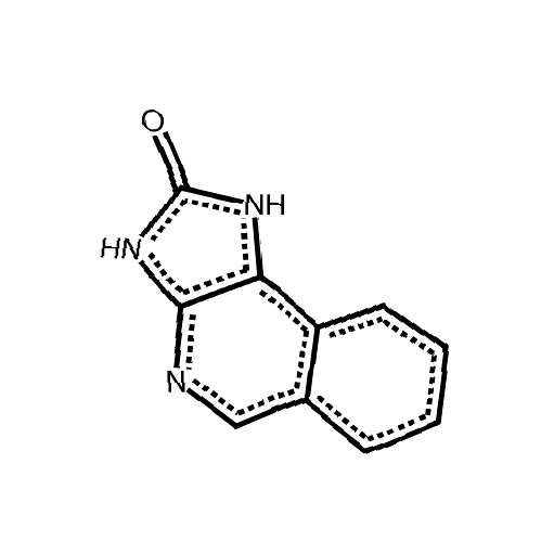 O=c1[nH]c2ncc3ccccc3c2[nH]1